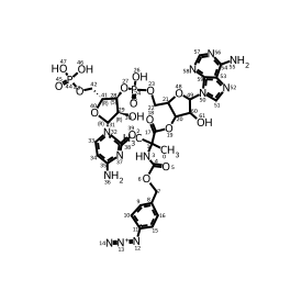 CC(C)(NC(=O)OCc1ccc(N=[N+]=[N-])cc1)C(=O)OC1C(COP(=O)(O)O[C@H]2[C@@H](O)[C@H](n3ccc(N)nc3=O)O[C@@H]2COP(=O)(O)O)OC(n2cnc3c(N)ncnc32)C1O